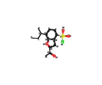 CCC(C)c1ccc(S(=O)(=O)Cl)c2cc(C(C)=O)oc12